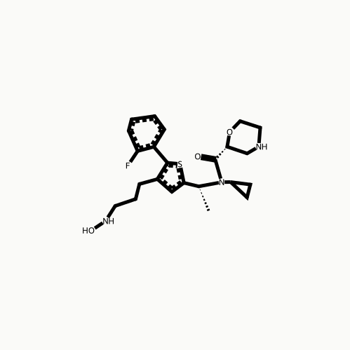 C[C@H](c1cc(CCCNO)c(-c2ccccc2F)s1)N(C(=O)[C@H]1CNCCO1)C1CC1